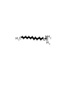 CCCCCCCCCCCCCCOC(C)N